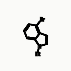 CCn1ccc2c(Br)cccc21